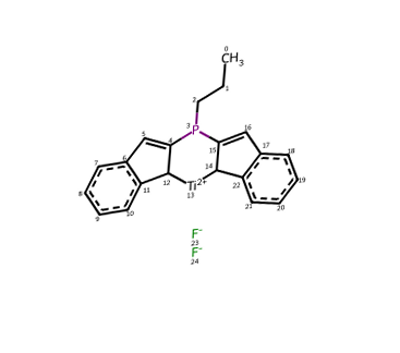 CCCP1C2=Cc3ccccc3[CH]2[Ti+2][CH]2C1=Cc1ccccc12.[F-].[F-]